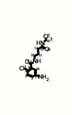 Nc1ccc(Cl)c(C(=O)NCCCC(=O)NCC(F)(F)F)c1